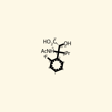 CC(=O)NC(c1ccccc1F)(C(C)C)[C@@H](O)C(=O)O